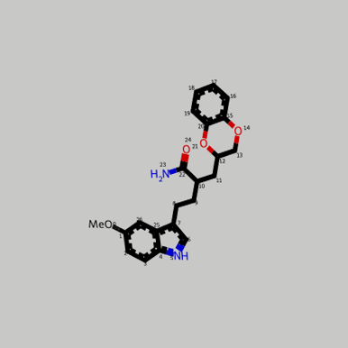 COc1ccc2[nH]cc(CCC(CC3COc4ccccc4O3)C(N)=O)c2c1